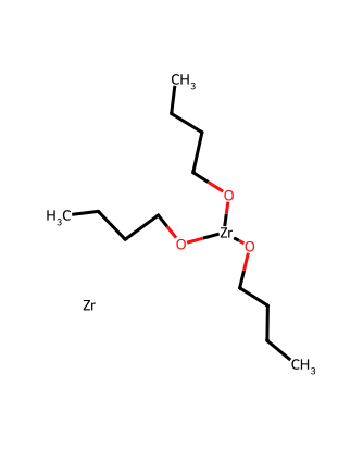 CCCC[O][Zr]([O]CCCC)[O]CCCC.[Zr]